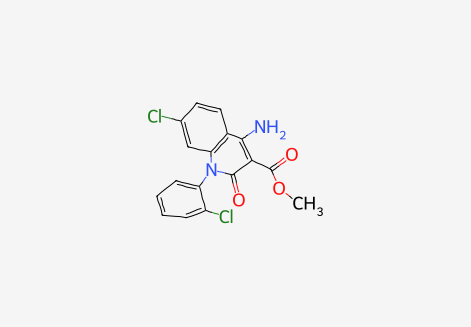 COC(=O)c1c(N)c2ccc(Cl)cc2n(-c2ccccc2Cl)c1=O